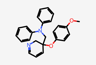 COc1ccc(OC2(CN(c3ccccc3)c3ccccc3)C=CC=NC2)cc1